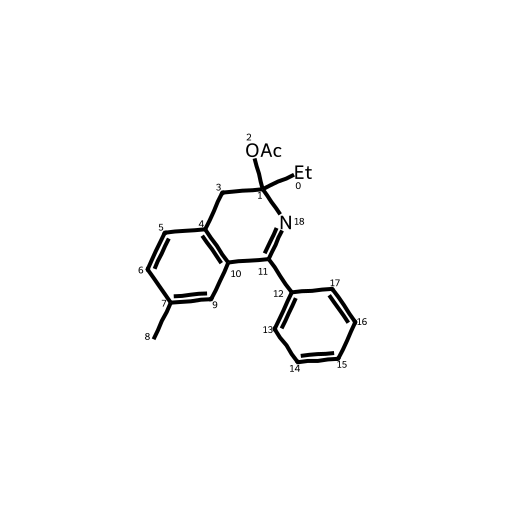 CCC1(OC(C)=O)Cc2ccc(C)cc2C(c2ccccc2)=N1